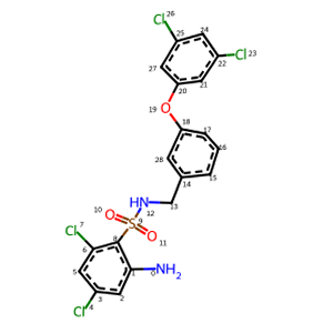 Nc1cc(Cl)cc(Cl)c1S(=O)(=O)NCc1cccc(Oc2cc(Cl)cc(Cl)c2)c1